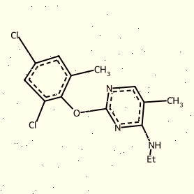 CCNc1nc(Oc2c(C)cc(Cl)cc2Cl)ncc1C